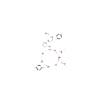 CC[C@H](C)[C@@H]1NC(=O)[C@H](Cc2ccc(O)cc2)NC(=O)CNC(=O)CC[C@@H](C(=O)N2CCC[C@H]2C(=O)N[C@@H](Cc2ccc(N)cc2)C(=O)NCC(N)=O)NC(=O)[C@H](CC(N)=O)NC(=O)[C@H](CCC(N)=O)NC1=O